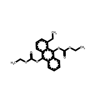 CCOC(=O)Oc1c2ccccc2c(OC(=O)OCC)c2c(CC)cccc12